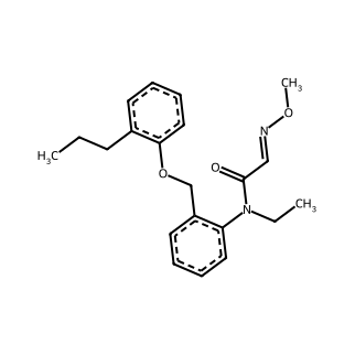 CCCc1ccccc1OCc1ccccc1N(CC)C(=O)C=NOC